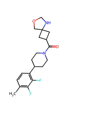 Cc1ccc(C2CCN(C(=O)C3CC4(COCN4)C3)CC2)c(F)c1F